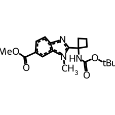 COC(=O)c1ccc2nc(C3(NC(=O)OC(C)(C)C)CCC3)n(C)c2c1